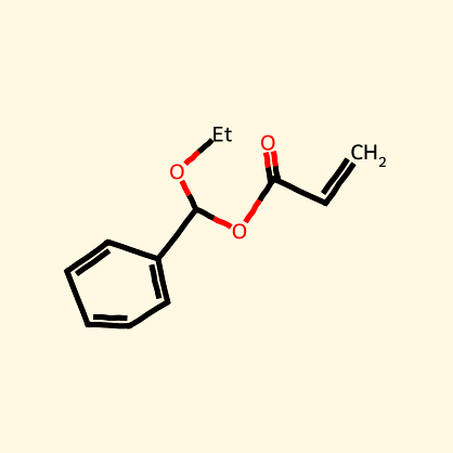 C=CC(=O)OC(OCC)c1ccccc1